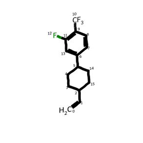 C=CC1CCC(c2ccc(C(F)(F)F)c(F)c2)CC1